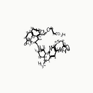 CN(Cc1cc2c(nn1)SCC(=O)N2)C1CCN(CCc2c(F)ccc3ccc(=O)n(C)c23)CC1.O=C(O)/C=C/C(=O)O